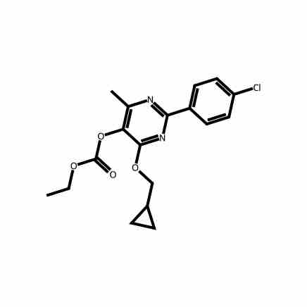 CCOC(=O)Oc1c(C)nc(-c2ccc(Cl)cc2)nc1OCC1CC1